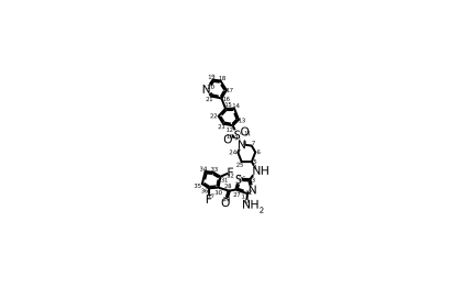 Nc1nc(NC2CCN(S(=O)(=O)c3ccc(-c4cccnc4)cc3)CC2)sc1C(=O)c1c(F)cccc1F